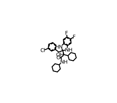 O=C(NC1CCCCC1)C(C1CCCCC1)C1(C(O)c2cccc(Cl)c2)Nc2cc(F)c(F)cc2N1